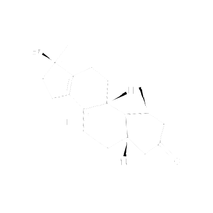 CC[C@]1(C)CCC2=C1CC[C@H]1[C@H]2CC[C@H]2CC(=O)C[C@H](C)[C@@]21C